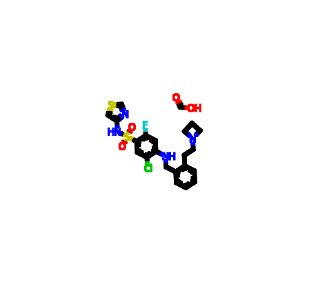 O=CO.O=S(=O)(Nc1cscn1)c1cc(Cl)c(NCc2ccccc2CCN2CCC2)cc1F